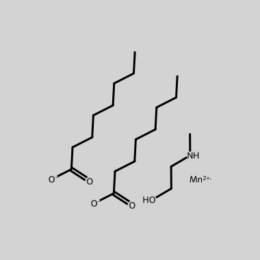 CCCCCCCC(=O)[O-].CCCCCCCC(=O)[O-].CNCCO.[Mn+2]